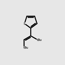 CC(C)(C)/C=C(/c1cccs1)C(C)(C)C